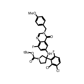 COc1ccc(Cn2cnc3c(F)cc(NC4(c5c(F)ccc(Cl)c5Cl)CCN(C(=O)OC(C)(C)C)C4)cc3c2=O)cc1